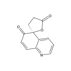 O=C1CC[C@@]2(O1)C(=O)C=Cc1ncccc12